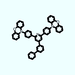 c1ccc(-c2cccc(-c3cc(-c4ccc(N5c6ccccc6Oc6ccccc65)cc4)nc(-c4ccc(N5c6ccccc6Oc6ccccc65)cc4)c3)c2)cc1